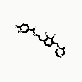 O=C(OCCc1ccc(Cn2ccncc2=O)c(F)c1F)c1ccc(=O)[nH]c1